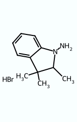 Br.CC1N(N)c2ccccc2C1(C)C